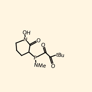 CNP(C(=O)C(=O)C(C)(C)C)C1CCCN(O)C1=O